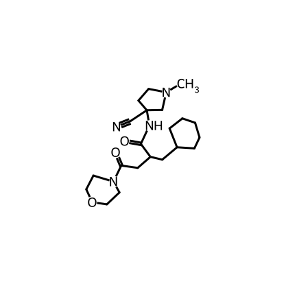 CN1CCC(C#N)(NC(=O)C(CC(=O)N2CCOCC2)CC2CCCCC2)C1